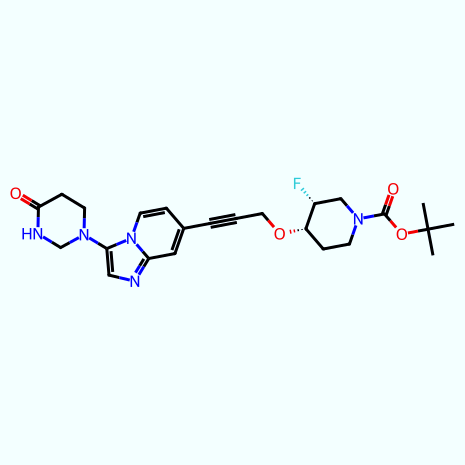 CC(C)(C)OC(=O)N1CC[C@H](OCC#Cc2ccn3c(N4CCC(=O)NC4)cnc3c2)[C@H](F)C1